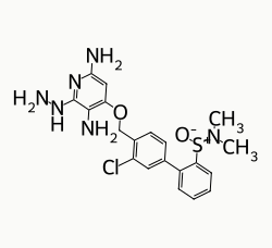 CN(C)[S+]([O-])c1ccccc1-c1ccc(COc2cc(N)nc(NN)c2N)c(Cl)c1